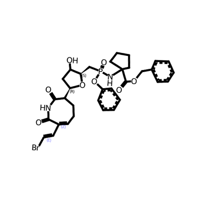 O=C1NC(=O)C([C@H]2CC(O)[C@@H](CP(=O)(NC3(C(=O)OCc4ccccc4)CCCC3)Oc3ccccc3)O2)CC/C=C1/C=C/Br